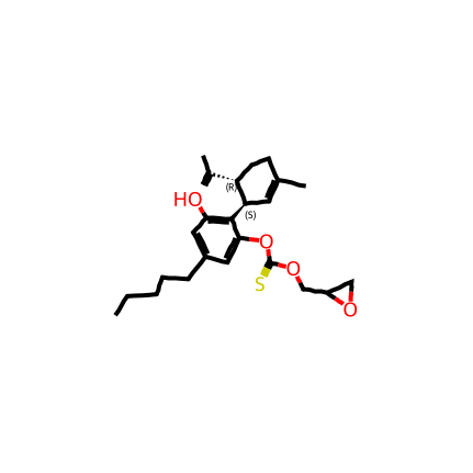 C=C(C)[C@@H]1CCC(C)=C[C@H]1c1c(O)cc(CCCCC)cc1OC(=S)OCC1CO1